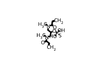 C=CC(=O)N(C)CC(CN(C)C(=O)C=C)OP(O)(O)=S